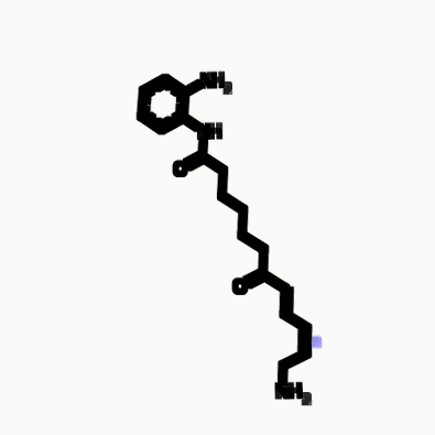 NC/C=C\C=CC(=O)CCCCCC(=O)Nc1ccccc1N